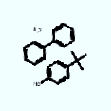 CC(C)(C)c1ccc(O)cc1.S.c1ccc(-c2ccccc2)cc1